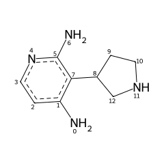 Nc1ccnc(N)c1C1CCNC1